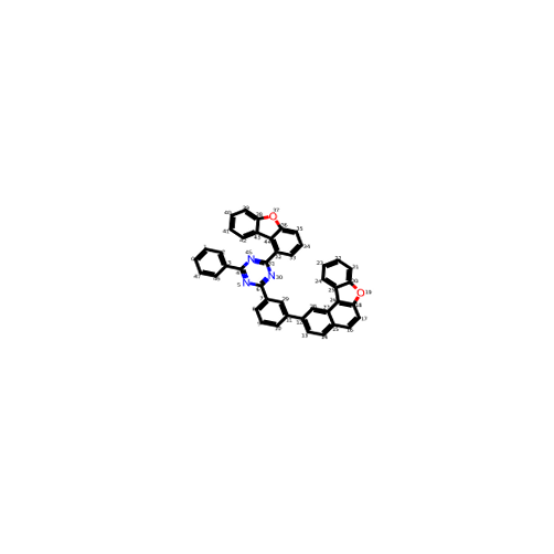 c1ccc(-c2nc(-c3cccc(-c4ccc5ccc6oc7ccccc7c6c5c4)c3)nc(-c3cccc4oc5ccccc5c34)n2)cc1